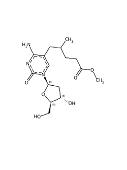 COC(=O)CCC(C)Cc1cn([C@H]2C[C@H](O)[C@@H](CO)O2)c(=O)nc1N